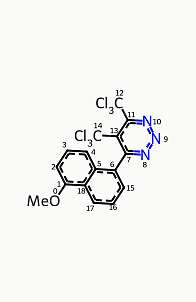 COc1cccc2c(-c3nnnc(C(Cl)(Cl)Cl)c3C(Cl)(Cl)Cl)cccc12